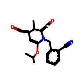 CC(C)OC1=CC(=C=O)C(C)C(=C=O)N1Cc1ccccc1C#N